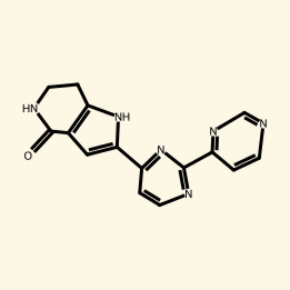 O=C1NCCc2[nH]c(-c3ccnc(-c4ccncn4)n3)cc21